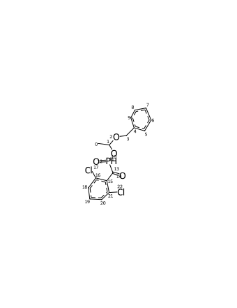 CC(OCc1ccccc1)O[PH](=O)C(=O)c1c(Cl)cccc1Cl